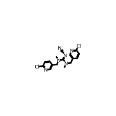 CN(Cc1ccc(Cl)nc1)C(=NC#N)N(C)Cc1ccc(Cl)nc1